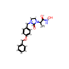 CC(C)C(C(=O)NO)N1CCN(Cc2ccc(OCc3ccccc3)cc2)C1=O